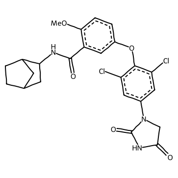 COc1ccc(Oc2c(Cl)cc(N3CC(=O)NC3=O)cc2Cl)cc1C(=O)NC1CC2CCC1C2